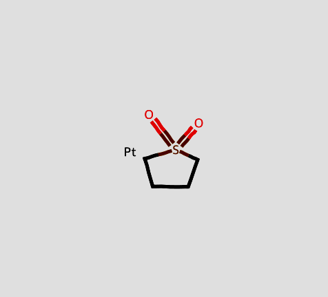 O=S1(=O)CCCC1.[Pt]